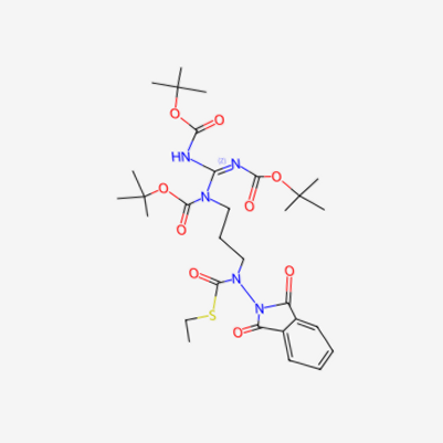 CCSC(=O)N(CCCN(C(=O)OC(C)(C)C)/C(=N\C(=O)OC(C)(C)C)NC(=O)OC(C)(C)C)N1C(=O)c2ccccc2C1=O